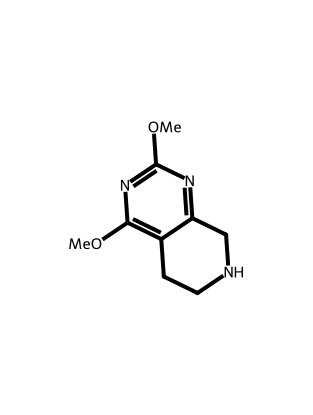 COc1nc2c(c(OC)n1)CCNC2